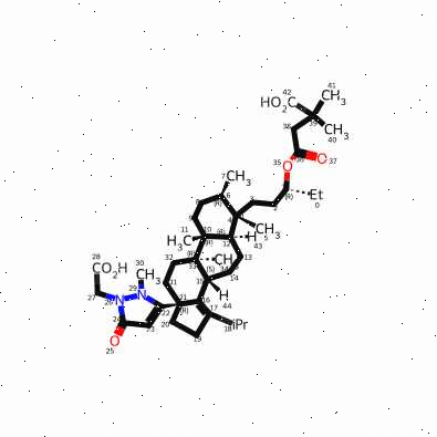 CC[C@H](CC[C@@]1(C)[C@H](C)CC[C@]2(C)[C@@H]1CC[C@@H]1C3=C(C(C)C)CC[C@]3(c3cc(=O)n(CC(=O)O)n3C)CC[C@]12C)OC(=O)CC(C)(C)C(=O)O